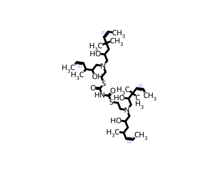 C/C=C\C(C)CC(O)CN(CCSC(=O)NC(=O)SCCN(CC(O)CC(C)(C)/C=C\C)CC(O)C(C)/C=C\C)CC(O)C(C)(C)/C=C\C